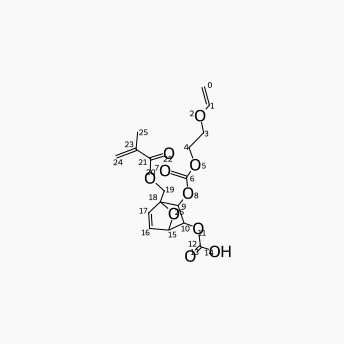 C=COCCOC(=O)OC1C(OC(=O)O)C2C=CC1(COC(=O)C(=C)C)O2